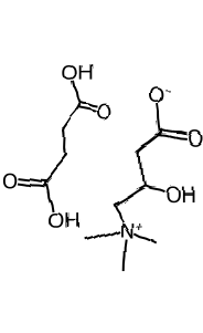 C[N+](C)(C)CC(O)CC(=O)[O-].O=C(O)CCC(=O)O